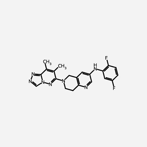 Cc1c(N2CCc3ncc(Nc4cc(F)ccc4F)cc3C2)nn2cnnc2c1C